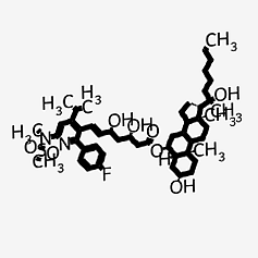 CCCCCC[C@](C)(O)[C@H]1CCC2C3C[C@H](OC(=O)C[C@H](O)C[C@H](O)/C=C/c4c(C(C)C)cc(N(C)S(C)(=O)=O)nc4-c4ccc(F)cc4)[C@H]4C[C@@H](O)CC[C@]4(C)C3CC[C@@]21C